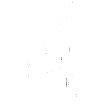 COc1ccc(CN2C(=O)c3c(c(C)nn3C3CC3)C2c2ccc(Cl)cc2)cc1